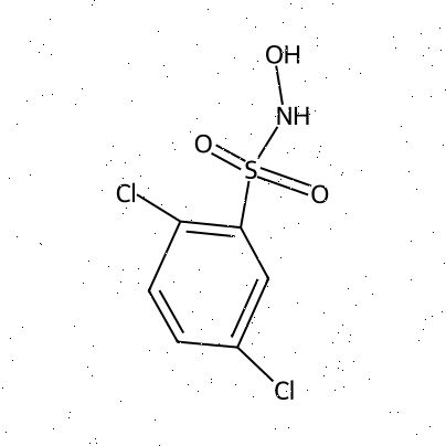 O=S(=O)(NO)c1cc(Cl)ccc1Cl